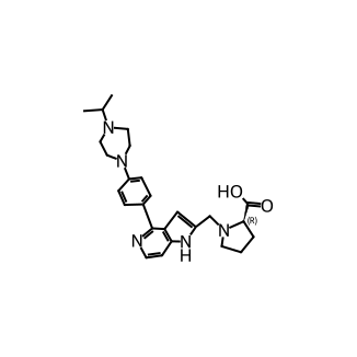 CC(C)N1CCN(c2ccc(-c3nccc4[nH]c(CN5CCC[C@@H]5C(=O)O)cc34)cc2)CC1